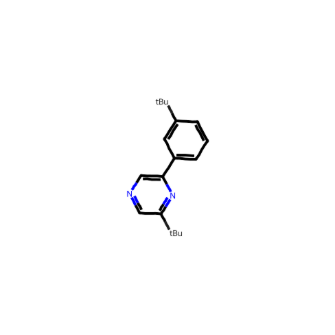 CC(C)(C)c1cccc(-c2cncc(C(C)(C)C)n2)c1